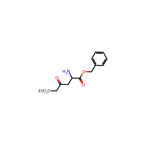 CCOC(=O)CC(=O)CC(N)C(=O)OCc1ccccc1